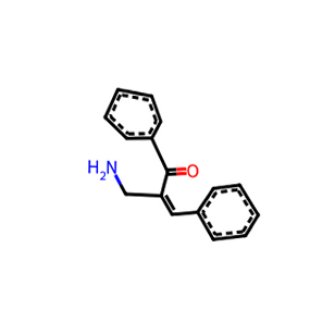 NCC(=Cc1ccccc1)C(=O)c1ccccc1